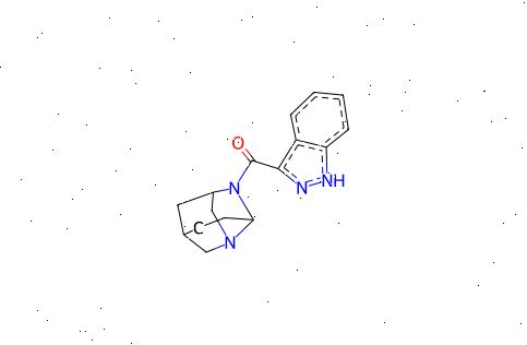 O=C(c1n[nH]c2ccccc12)N1C2CC3CCC1N(C3)C2